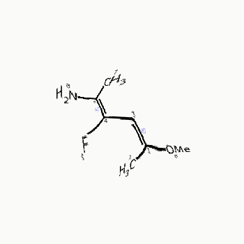 CO/C(C)=C/C(F)=C(\C)N